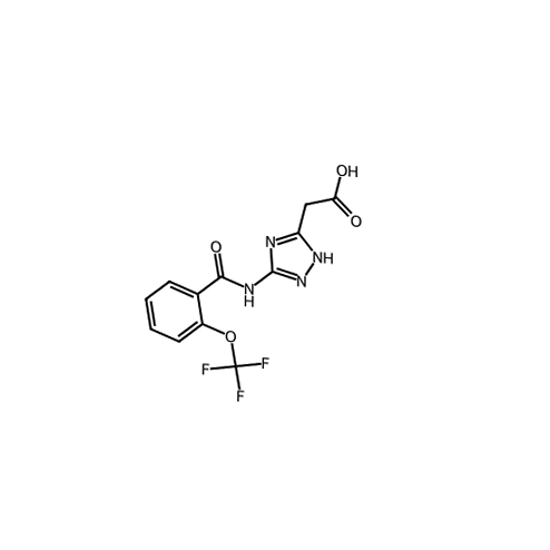 O=C(O)Cc1nc(NC(=O)c2ccccc2OC(F)(F)F)n[nH]1